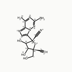 C#C[C@]1(CO)O[C@@](C#N)(c2cnc3c(N)nc(N)nn23)C(O)C1O